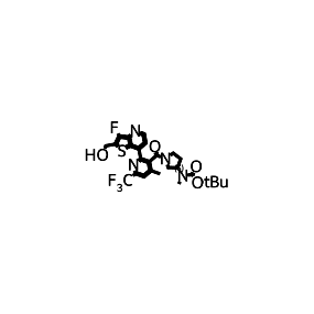 Cc1cc(C(F)(F)F)nc(-c2ccnc3c(F)c(CO)sc23)c1C(=O)N1CC[C@H](N(C)C(=O)OC(C)(C)C)C1